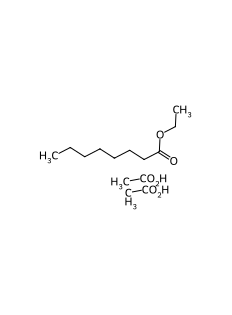 CC(=O)O.CC(=O)O.CCCCCCCC(=O)OCC